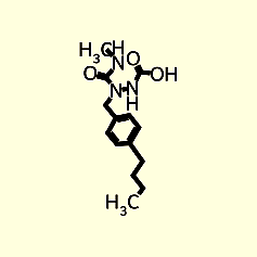 CCCCc1ccc(CN(NC(=O)O)C(=O)NC)cc1